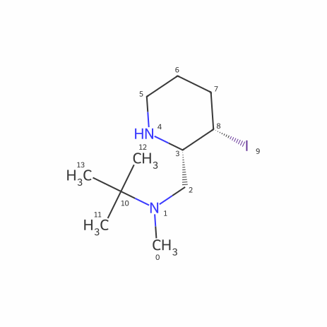 CN(C[C@@H]1NCCC[C@@H]1I)C(C)(C)C